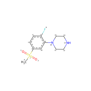 CS(=O)(=O)c1ccc(F)c(N2CCNCC2)c1